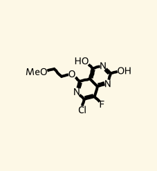 COCCOc1nc(Cl)c(F)c2nc(O)nc(O)c12